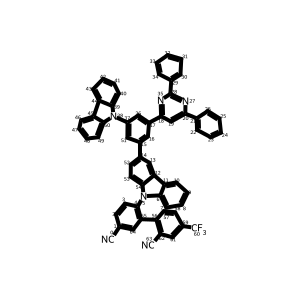 N#Cc1ccc(-n2c3ccccc3c3cc(-c4cc(-c5cc(-c6ccccc6)nc(-c6ccccc6)n5)cc(-n5c6ccccc6c6ccccc65)c4)ccc32)c(-c2ccc(C(F)(F)F)cc2C#N)c1